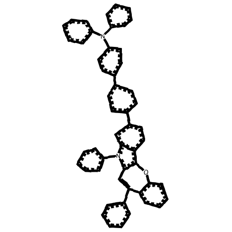 C1=C(c2ccccc2)c2ccccc2Oc2c1n(-c1ccccc1)c1cc(-c3ccc(-c4ccc(N(c5ccccc5)c5ccccc5)cc4)cc3)ccc21